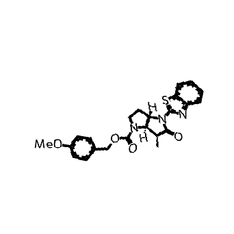 COc1ccc(COC(=O)N2CC[C@H]3[C@H]2[C@H](C)C(=O)N3c2nc3ccccc3s2)cc1